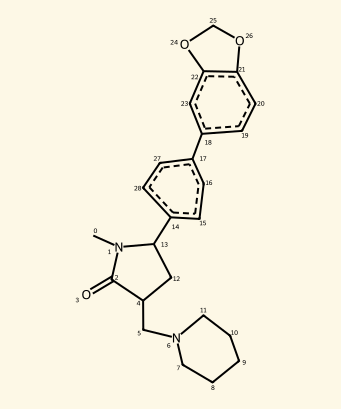 CN1C(=O)C(CN2CCCCC2)CC1c1ccc(-c2ccc3c(c2)OCO3)cc1